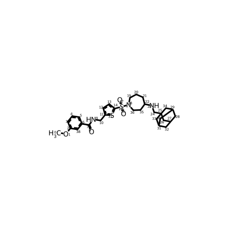 COc1cccc(C(=O)NCc2ccc(S(=O)(=O)N3CCCC(NCC45CC6CC(CC(C6)C4)C5)CC3)s2)c1